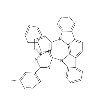 Cc1cccc(-c2nc(-c3ccccc3)nc(-n3c4ccccc4c4ccc5c6ccccc6n(-c6ccccc6)c5c43)n2)c1